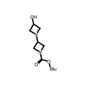 CC(C)(C)OC(=O)N1CC(N2CC(O)C2)C1